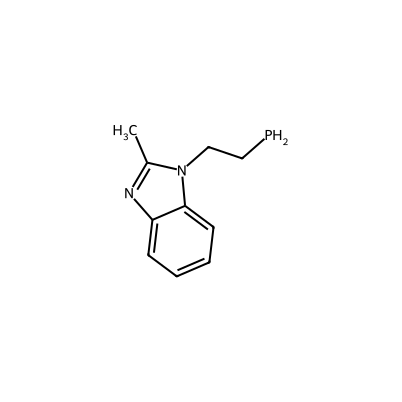 Cc1nc2ccccc2n1CCP